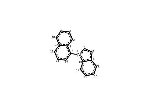 c1ccc2c(-n3ccc4ccccc43)cccc2c1